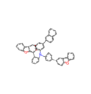 c1cc(-c2ccc3ccccc3c2)cc(N(c2ccc(-c3ccc4oc5ccccc5c4c3)cc2)c2ccccc2-c2cccc3c2oc2ccccc23)c1